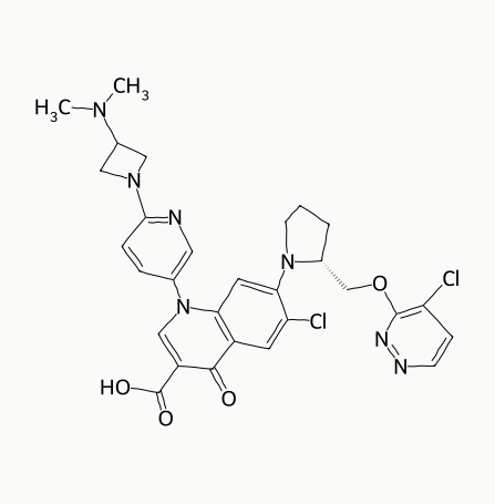 CN(C)C1CN(c2ccc(-n3cc(C(=O)O)c(=O)c4cc(Cl)c(N5CCC[C@@H]5COc5nnccc5Cl)cc43)cn2)C1